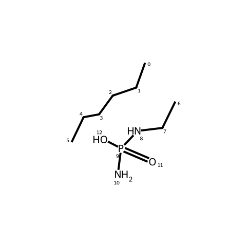 CCCCCC.CCNP(N)(=O)O